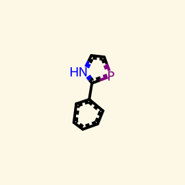 c1ccc(-c2[nH]ccp2)cc1